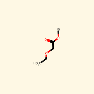 CCOC(=O)COCC(=O)O